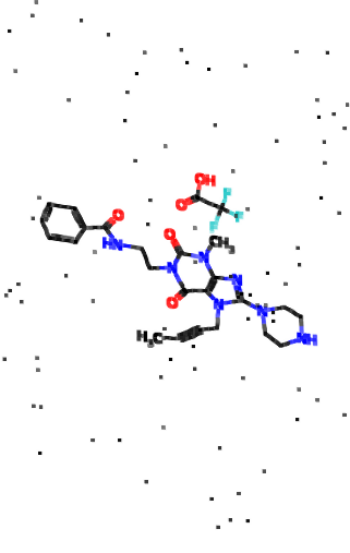 CC#CCn1c(N2CCNCC2)nc2c1c(=O)n(CCNC(=O)c1ccccc1)c(=O)n2C.O=C(O)C(F)(F)F